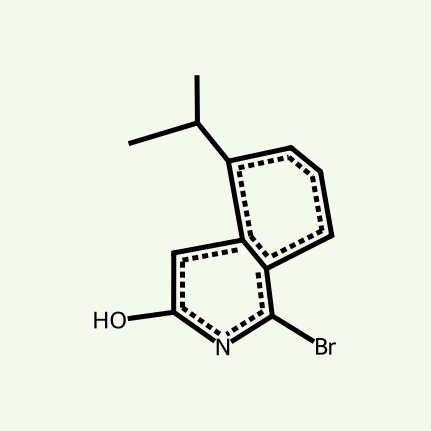 CC(C)c1cccc2c(Br)nc(O)cc12